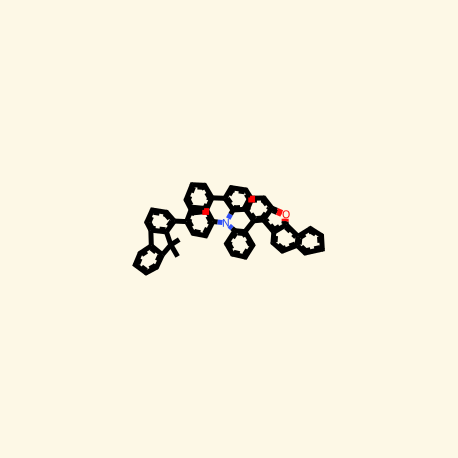 CC1(C)c2ccccc2-c2cccc(-c3ccc(N(c4ccccc4-c4ccccc4)c4ccccc4-c4cccc5oc6c7ccccc7ccc6c45)cc3)c21